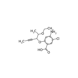 CC#CC(Oc1cc(N)c(Cl)cc1C(=O)O)C(C)OCC